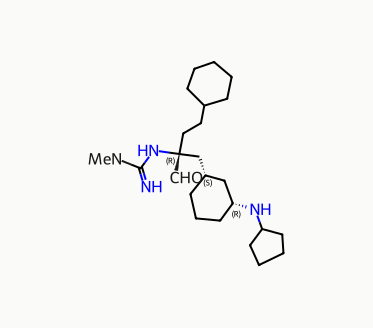 CNC(=N)N[C@](C=O)(CCC1CCCCC1)C[C@H]1CCC[C@@H](NC2CCCC2)C1